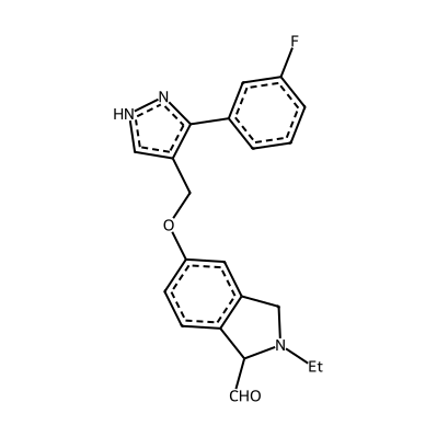 CCN1Cc2cc(OCc3c[nH]nc3-c3cccc(F)c3)ccc2C1C=O